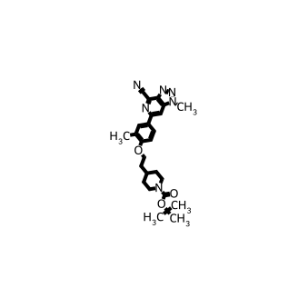 Cc1cc(-c2cc3c(nnn3C)c(C#N)n2)ccc1OCCC1CCN(C(=O)OC(C)(C)C)CC1